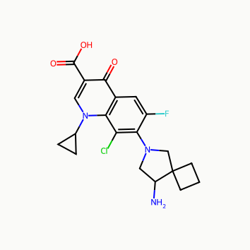 NC1CN(c2c(F)cc3c(=O)c(C(=O)O)cn(C4CC4)c3c2Cl)CC12CCC2